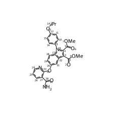 COC(=O)c1c(C(=O)OC)n(-c2ccc(OC(C)C)cc2)c2ccc(Oc3ncccc3C(N)=O)cc12